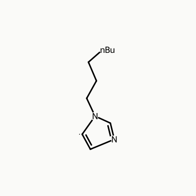 CCCCCCCn1[c]cnc1